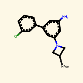 CNC1CN(c2cc(N)cc(-c3cccc(Cl)c3)c2)C1